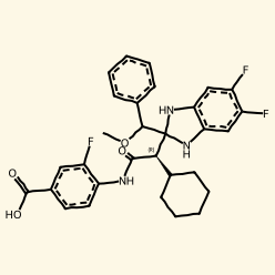 COC(c1ccccc1)C1([C@H](C(=O)Nc2ccc(C(=O)O)cc2F)C2CCCCC2)Nc2cc(F)c(F)cc2N1